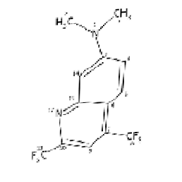 CN(C)c1ccc2c(C(F)(F)F)cc(C(F)(F)F)nc2c1